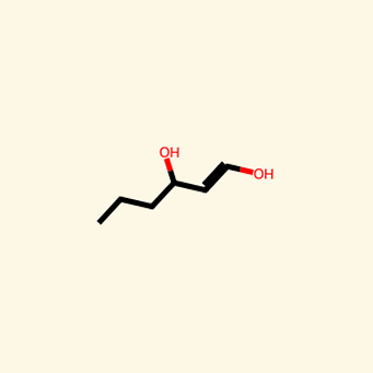 CCCC(O)C=CO